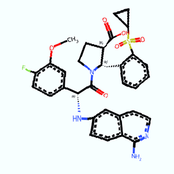 COc1cc([C@@H](Nc2ccc3c(N)nccc3c2)C(=O)N2CC[C@@H](C(=O)O)[C@@H]2c2ccccc2S(=O)(=O)C2CC2)ccc1F